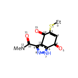 CCSC1=CC(=O)c2[nH]nc(C(=O)NC)c2C1=O